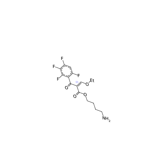 CCO/C=C(\C(=O)OCCCCN)C(=O)c1c(F)cc(F)c(F)c1F